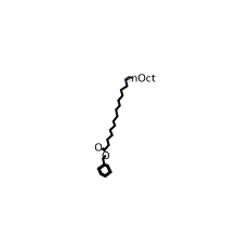 CCCCCCCC/C=C\CCCCCCCCCCCCCC(=O)OCc1ccccc1